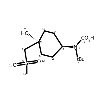 CC(C)(C)N(C(=O)O)[C@H]1CC[C@@](O)(CS(C)(=O)=O)CC1